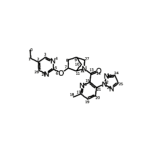 CCc1cnc(OC2CC3CC2N(C(=O)c2nc(C)ccc2-n2nccn2)C3)nc1